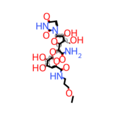 CCOCCCNC(=O)C1=C[C@H](O)[C@H](O)[C@@H](O[C@@H](C(N)=O)[C@H]2O[C@@H](n3ccc(=O)[nH]c3=O)[C@H](O)[C@@H]2CO)O1